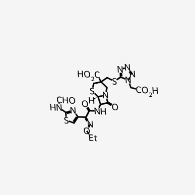 CCON=C(C(=O)NC1C(=O)N2CC(CSc3nnnn3CC(=O)O)(C(=O)O)CS[C@H]12)c1csc(NC=O)n1